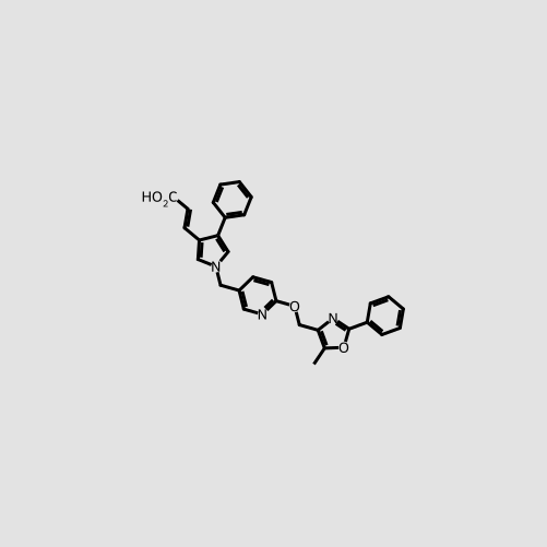 Cc1oc(-c2ccccc2)nc1COc1ccc(Cn2cc(/C=C/C(=O)O)c(-c3ccccc3)c2)cn1